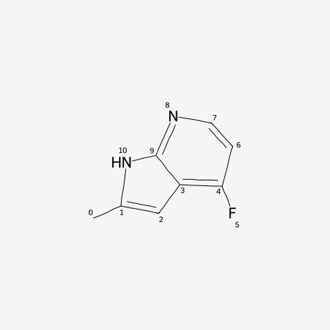 Cc1cc2c(F)ccnc2[nH]1